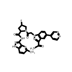 Cc1ccc2[nH]nc(NC(=O)C3CC(F)CN3C(=O)Cn3nc(C(N)=O)c4cc(-c5ccnnc5)ccc43)c2n1